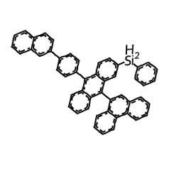 c1ccc([SiH2]c2ccc3c(-c4ccc(-c5ccc6ccccc6c5)cc4)c4ccccc4c(-c4cc5ccccc5c5ccccc45)c3c2)cc1